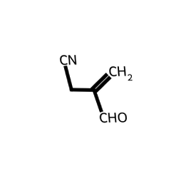 C=C(C=O)CC#N